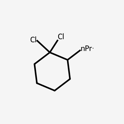 CC[CH]C1CCCCC1(Cl)Cl